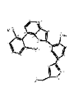 COc1ccc(-c2noc(CN)n2)cc1-c1cc2nccc(-c3c(OC)cccc3OC)c2o1